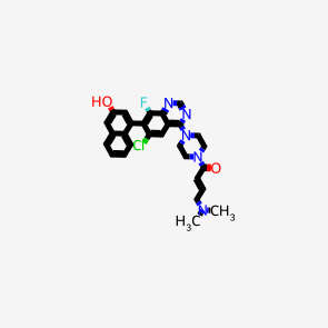 CN(C)C/C=C/C(=O)N1CCN(c2ncnc3c(F)c(-c4cc(O)cc5ccccc45)c(Cl)cc23)CC1